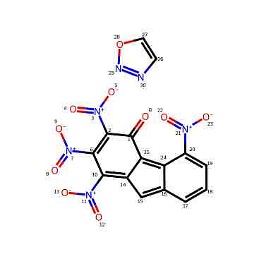 O=C1C([N+](=O)[O-])=C([N+](=O)[O-])C([N+](=O)[O-])=C2C=c3cccc([N+](=O)[O-])c3=C12.c1conn1